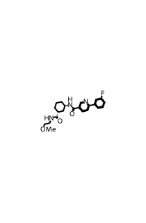 COCCNC(=O)[C@@H]1CCC[C@@H](NC(=O)c2ccc(-c3cccc(F)c3)nc2)C1